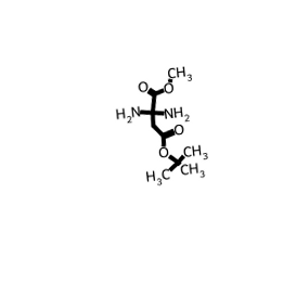 COC(=O)C(N)(N)CC(=O)OC(C)(C)C